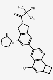 CC1=CC2CCC2c2ncc(-c3cc4c(c([C@@H]5CCCN5)c3)CN(C(=O)[C@@](C)(O)C(F)(F)F)C4)cc21